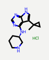 CC1(c2c[nH]c3ncnc(N[C@@H]4CCCNC4)c23)CC1.Cl